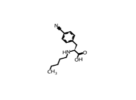 CCCCCN[C@@H](Cc1ccc(C#N)cc1)C(=O)O